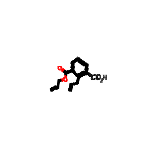 C=CCOC(=O)c1cccc(C(=O)O)c1CC=C